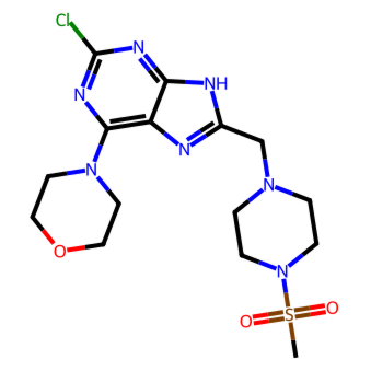 CS(=O)(=O)N1CCN(Cc2nc3c(N4CCOCC4)nc(Cl)nc3[nH]2)CC1